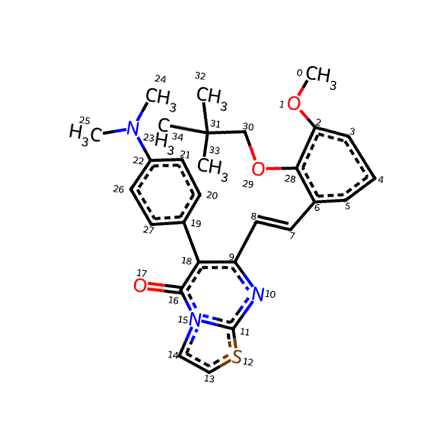 COc1cccc(C=Cc2nc3sccn3c(=O)c2-c2ccc(N(C)C)cc2)c1OCC(C)(C)C